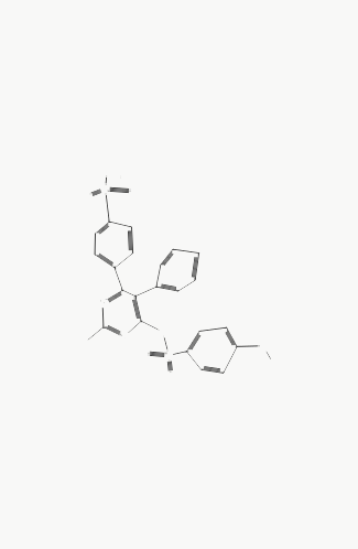 CS(=O)(=O)c1ccc(-c2nc(C(F)(F)F)nc(OS(=O)(=O)c3ccc(OC(F)(F)F)cc3)c2-c2ccccc2)cc1